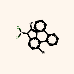 CCCC1=Cc2c(ccc(C(C)C)c2-c2ccccc2-c2ccccc2)[CH]1[Zr]([Cl])[Cl]